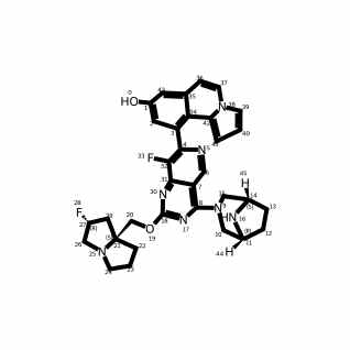 Oc1cc(-c2ncc3c(N4C[C@H]5CC[C@@H](C4)N5)nc(OC[C@@]45CCCN4C[C@H](F)C5)nc3c2F)c2c(ccn3cccc23)c1